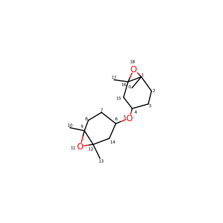 CC12CCC(OC3CCC4(C)OC4(C)C3)CC1(C)O2